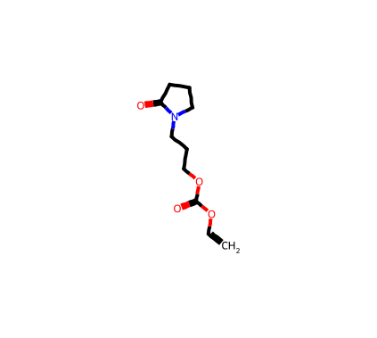 C=COC(=O)OCCCN1CCCC1=O